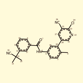 Cc1ccc(NC(=O)c2cccc(C(C)(C)C#N)c2)cc1-c1cnc(Cl)c(C#N)c1